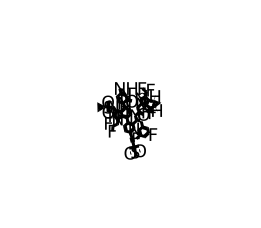 CC(C)(C#Cc1ccc(-c2ccc(-n3ccc(N)nc3=O)c3c(NS(=O)(=O)C4CC4)nn(CC(F)F)c23)c([C@H](Cc2cc(F)cc(F)c2)NC(=O)Cn2nc(C(F)F)c3c2C(F)(F)[C@@H]2C[C@H]32)n1)S(C)(=O)=O